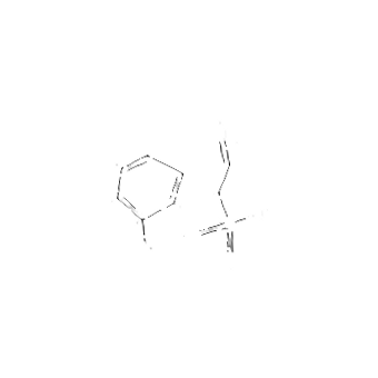 C=CCS(=O)(=O)Cl.Oc1ccccc1